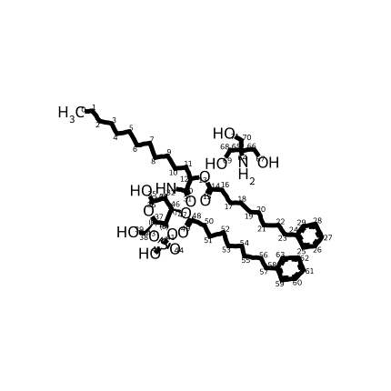 CCCCCCCCCCCCC(OC(=O)CCCCCCCCc1ccccc1)C(=O)N[C@H]1C(O)O[C@H](CO)[C@@H](OS(=O)(=O)O)[C@@H]1OC(=O)CCCCCCCCc1ccccc1.NC(CO)(CO)CO